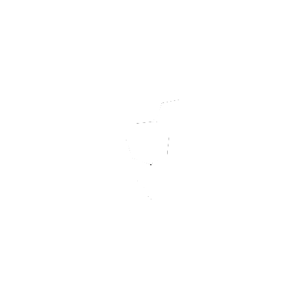 CCN1CCCC(C)(CN)CC1